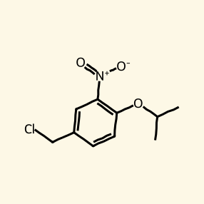 CC(C)Oc1ccc(CCl)cc1[N+](=O)[O-]